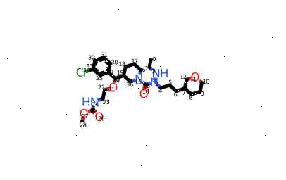 CCNN(CCCC1CCCOC1)C(=O)N1CCCC([C@@H](OCCNC(=O)OC)c2cccc(Cl)c2)C1